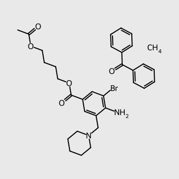 C.CC(=O)OCCCCOC(=O)c1cc(Br)c(N)c(CN2CCCCC2)c1.O=C(c1ccccc1)c1ccccc1